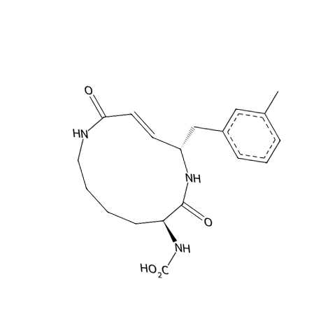 Cc1cccc(C[C@H]2/C=C/C(=O)NCCCC[C@H](NC(=O)O)C(=O)N2)c1